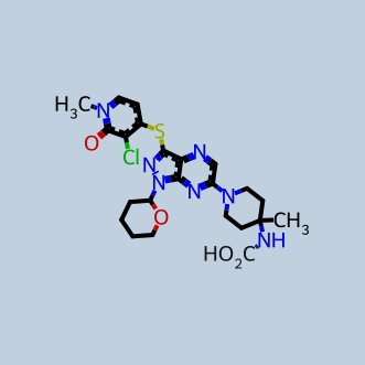 Cn1ccc(Sc2nn(C3CCCCO3)c3nc(N4CCC(C)(NC(=O)O)CC4)cnc23)c(Cl)c1=O